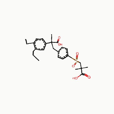 CCc1ccc(C(C)(Cc2ccc(S(=O)(=O)CC(C)(C)C(=O)O)cc2)C(=O)O)cc1CC